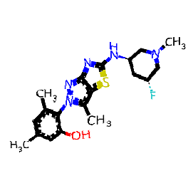 Cc1cc(C)c(-n2nc3nc(N[C@@H]4C[C@@H](F)CN(C)C4)sc3c2C)c(O)c1